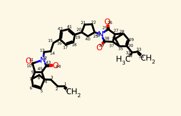 C=CCCC12C=CC(C1)C1C(=O)N(CCCc3ccc(C4CCC(N5C(=O)C6C7C=C(C(C)C=C)C(C7)C6C5=O)C4)cc3)C(=O)C12